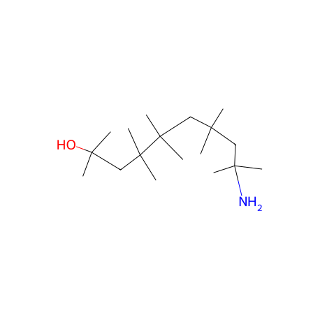 CC(C)(N)CC(C)(C)CC(C)(C)C(C)(C)CC(C)(C)O